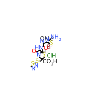 CON=C(C(=O)NC1C(=O)N2CC(CSc3nncs3)(C(=O)O)CS[C@H]12)c1nc(N)sc1Br.Cl